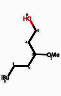 CCC(C)CCC(CCO)OC